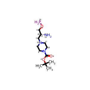 CC(C)(C)OC(=O)N1CCN(C[C@@H](N)COP)CC1